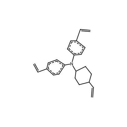 C=Cc1ccc(N(c2ccc(C=C)cc2)C2CCC(C=C)CC2)cc1